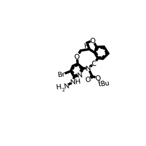 CC(C)(C)OC(=O)N1Cc2cccc3c2[C@@H](COc2cc(Br)c(NN)nc21)CO3